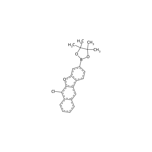 CC1(C)OB(c2ccc3c(c2)oc2c(Cl)c4ccccc4cc23)OC1(C)C